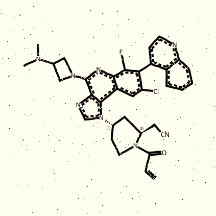 C=CC(=O)N1CC[C@H](n2cnc3c(N4CC(N(C)C)C4)nc4c(F)c(-c5ccnc6ccccc56)c(Cl)cc4c32)C[C@H]1CC#N